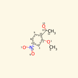 COc1cc([N+](=O)[O-])ccc1C(C)=O